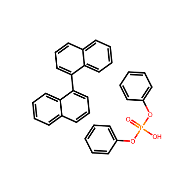 O=P(O)(Oc1ccccc1)Oc1ccccc1.c1ccc2c(-c3cccc4ccccc34)cccc2c1